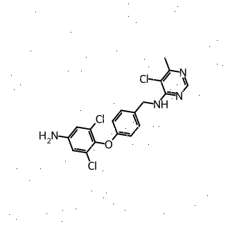 Cc1ncnc(NCc2ccc(Oc3c(Cl)cc(N)cc3Cl)cc2)c1Cl